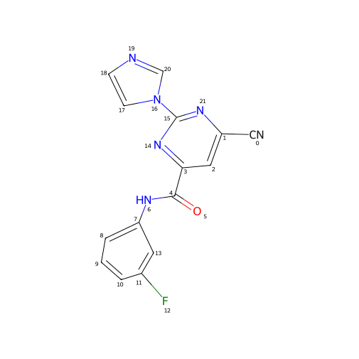 N#Cc1cc(C(=O)Nc2cccc(F)c2)nc(-n2ccnc2)n1